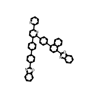 c1ccc(-c2ccc(-c3ccc(-c4ccc(-c5nc6ccccc6o5)cc4)cc3)c(-c3ccc(-c4ccc(-c5nc6ccccc6o5)c5ccccc45)cc3)n2)nc1